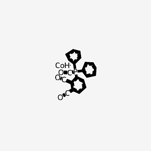 O=C=c1cccc(P(=C=O)(c2ccccc2)c2ccccc2)c1=C=O.[CoH]